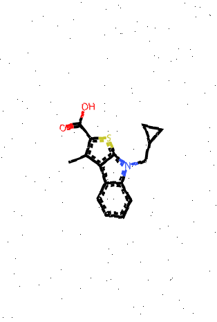 Cc1c(C(=O)O)sc2c1c1ccccc1n2CC1CC1